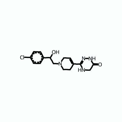 O=C1CNC(C2=CCN(CC(O)c3ccc(Cl)cc3)CC2)=NN1